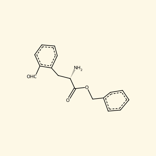 N[C@@H](Cc1ccccc1C=O)C(=O)OCc1ccccc1